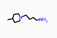 CC1CCN(CCCCN)CC1